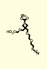 CC(C)(C)OC(=O)N1CC(COCCOCCN=[N+]=[N-])(COCC(=O)O)C1